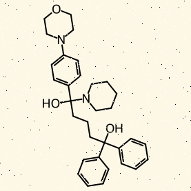 OC(CCCC(O)(c1ccc(N2CCOCC2)cc1)N1CCCCC1)(c1ccccc1)c1ccccc1